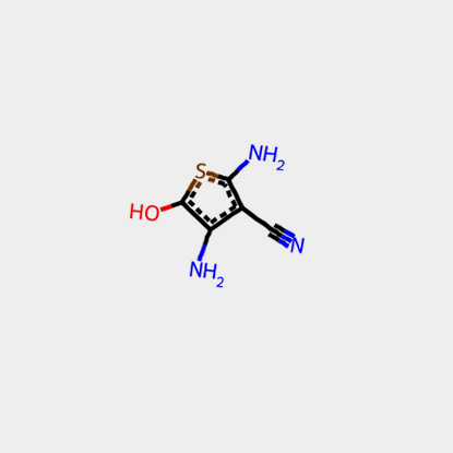 N#Cc1c(N)sc(O)c1N